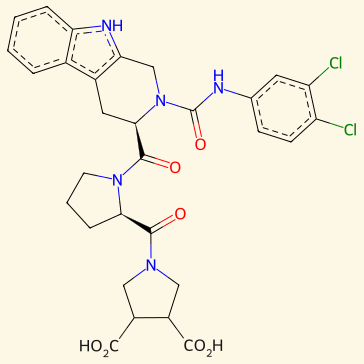 O=C(O)C1CN(C(=O)[C@H]2CCCN2C(=O)[C@H]2Cc3c([nH]c4ccccc34)CN2C(=O)Nc2ccc(Cl)c(Cl)c2)CC1C(=O)O